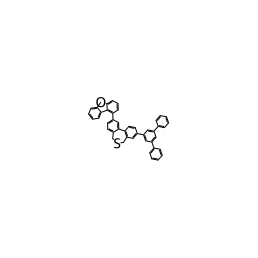 c1ccc(-c2cc(-c3ccccc3)cc(-c3ccc4c(c3)CSCc3ccc(-c5cccc6oc7ccccc7c56)cc3-4)c2)cc1